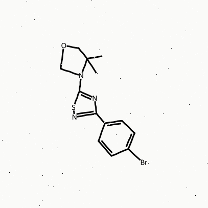 CC1(C)COCN1c1nc(-c2ccc(Br)cc2)ns1